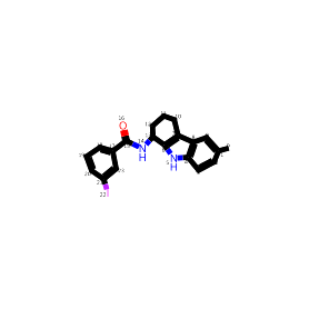 Cc1ccc2[nH]c3c(c2c1)CCCC3NC(=O)c1cccc(I)c1